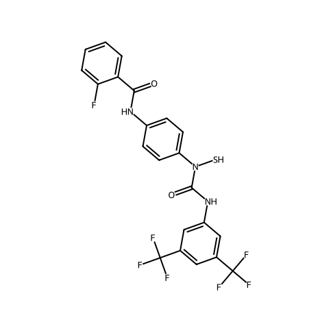 O=C(Nc1ccc(N(S)C(=O)Nc2cc(C(F)(F)F)cc(C(F)(F)F)c2)cc1)c1ccccc1F